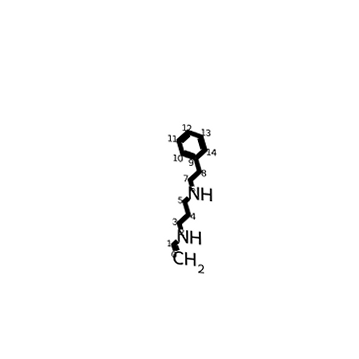 C=CNCCCNCCc1ccccc1